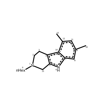 CCCCCCN1CCc2c([nH]c3cc(C)cc(C)c23)C1